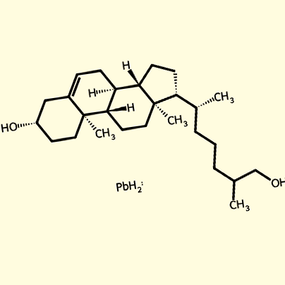 CC(CO)CCC[C@@H](C)[C@H]1CC[C@H]2[C@@H]3CC=C4C[C@@H](O)CC[C@]4(C)[C@H]3CC[C@]12C.[PbH2]